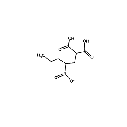 CCCC(CC(C(=O)O)C(=O)O)[N+](=O)[O-]